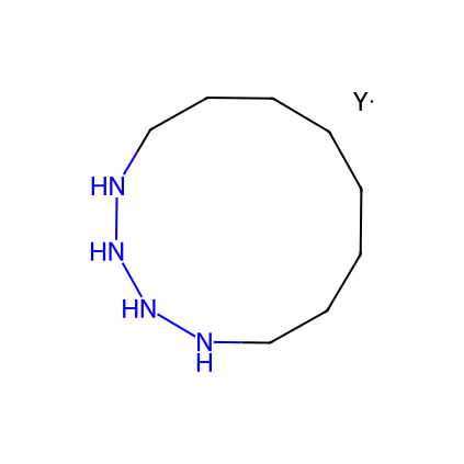 C1CCCCNNNNCCC1.[Y]